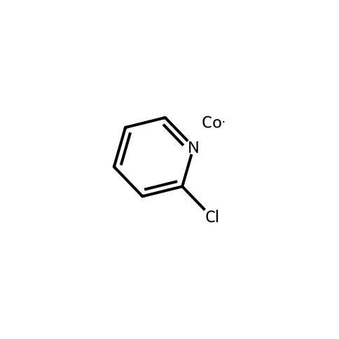 Clc1ccccn1.[Co]